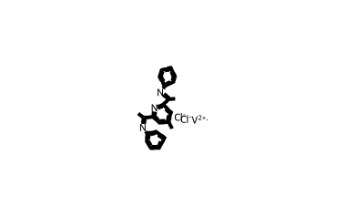 CC(=Nc1ccccc1)c1cc(C)cc(C(C)=Nc2ccccc2)n1.[Cl-].[Cl-].[V+2]